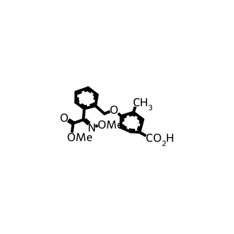 CO/N=C(/C(=O)OC)c1ccccc1COc1ccc(C(=O)O)cc1C